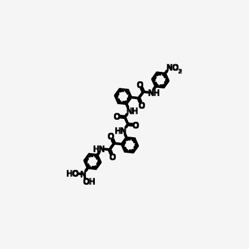 O=C(Nc1ccccc1C(=O)C(=O)Nc1ccc(N(O)O)cc1)C(=O)Nc1ccccc1C(=O)C(=O)Nc1ccc([N+](=O)[O-])cc1